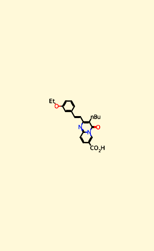 CCCCc1c(C=Cc2cccc(OCC)c2)nc2ccc(C(=O)O)cn2c1=O